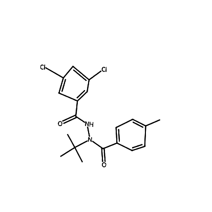 Cc1ccc(C(=O)N(NC(=O)c2cc(Cl)cc(Cl)c2)C(C)(C)C)cc1